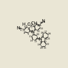 CC1(C)c2cc(C#N)ccc2N(c2cccc(-n3c4ccccc4c4ccccc43)c2)c2ccc(C#N)cc21